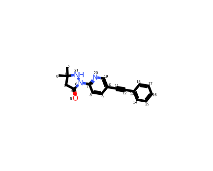 CC1(C)CC(=O)N(c2ccc(C#Cc3ccccc3)cn2)N1